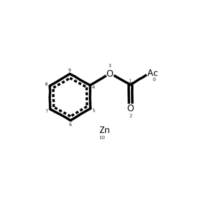 CC(=O)C(=O)Oc1ccccc1.[Zn]